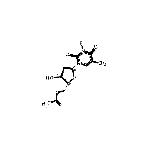 CC(=O)OC[C@H]1O[C@@H](n2cc(C)c(=O)n(F)c2=O)C[C@@H]1O